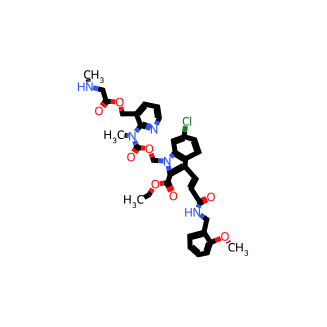 CCOC(=O)c1c(/C=C/C(=O)NCc2ccccc2OC)c2ccc(Cl)cc2n1COC(=O)N(C)c1ncccc1COC(=O)CNC